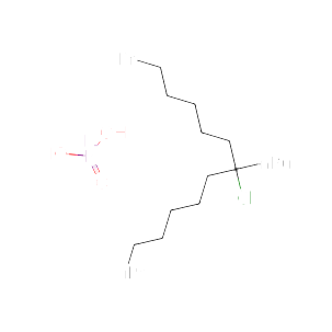 CCCCC(Cl)(CCCCCC(C)C)CCCCCC(C)C.O=[PH](O)O